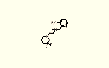 FC1(F)CCCN(CCNCc2ncccc2C(F)(F)F)C1